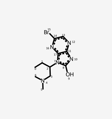 CCC(CN(C)C)n1c(O)nc2ncc(Br)nc21